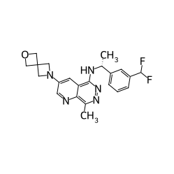 Cc1nnc(N[C@H](C)c2cccc(C(F)F)c2)c2cc(N3CC4(COC4)C3)cnc12